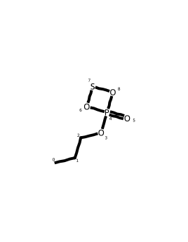 CCCOP1(=O)OSO1